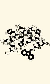 CC(C)C[C@H](NC(=O)[C@H](CC(C)C)NC(=O)[C@H](Cc1c[nH]cn1)NC(=O)[C@H](Cc1c[nH]cn1)NC(=O)[C@H](CC(C)C)NC(=O)[C@H](CC(C)C)NC(=O)[C@H](CC(C)C)NC(=O)[C@H](Cc1c[nH]cn1)NC(=O)[C@H](CC(C)C)NC(=O)OCC1c2ccccc2-c2ccccc21)C(=O)O